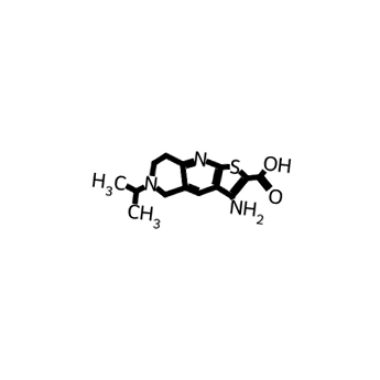 CC(C)N1CCc2nc3sc(C(=O)O)c(N)c3cc2C1